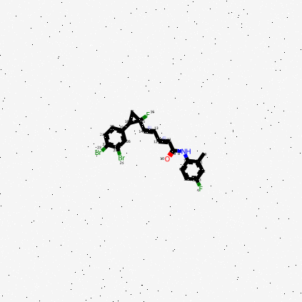 Cc1cc(F)ccc1NC(=O)/C=C/C=C/C1(F)CC1c1ccc(Br)c(Br)c1